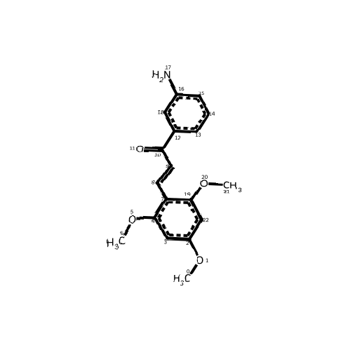 COc1cc(OC)c(C=CC(=O)c2cccc(N)c2)c(OC)c1